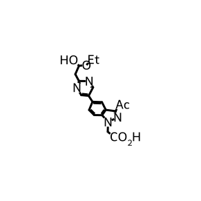 CCOC(O)Cc1ncc(-c2ccc3c(c2)c(C(C)=O)nn3CC(=O)O)cn1